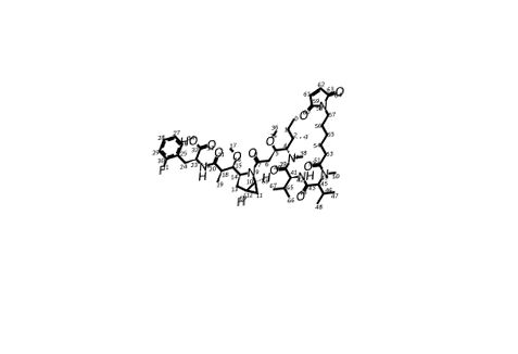 CC[C@H](C)[C@@H]([C@@H](CC(=O)N1[C@H]2C[C@H]2C[C@H]1[C@H](OC)[C@@H](C)C(=O)N[C@@H](Cc1ccccc1F)C(=O)O)OC)N(C)C(=O)[C@@H](NC(=O)C(C(C)C)N(C)C(=O)CCCCCN1C(=O)C=CC1=O)C(C)C